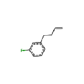 C=CCCc1[c]ccc(F)c1